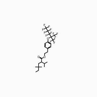 CCC(C)(C)CC(C(=O)OCCc1ccc(OC(C(F)(F)F)(C(F)(F)F)C(F)(F)C(F)(F)C(F)(F)F)cc1)C(C)C